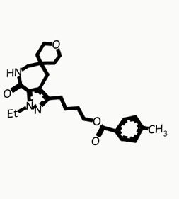 CCn1nc(CCCCOC(=O)c2ccc(C)cc2)c2c1C(=O)NCC1(CCOCC1)C2